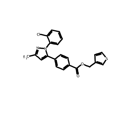 O=C(OCc1ccsc1)c1ccc(-c2cc(C(F)(F)F)nn2-c2ccccc2Cl)cc1